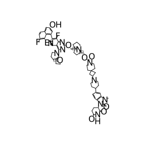 CCc1c(F)ccc2cc(O)cc(-c3ncc4c(N5CCC[C@]6(CCO6)C5)nc(OC[C@@]56CCCN5[C@H](COC(=O)N5CCC7(CC5)CC(N5CCC(c8ccc9c(c8)n(C)c(=O)n9C8CCC(=O)NC8=O)CC5)C7)CC6)nc4c3F)c12